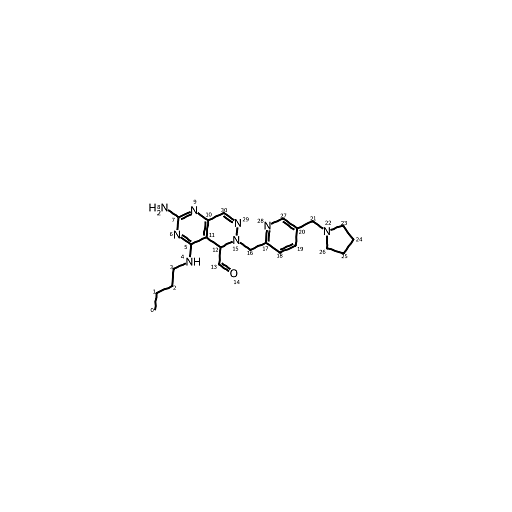 CCCCNc1nc(N)nc2c1C(C=O)N(Cc1ccc(CN3CCCC3)cn1)N=C2